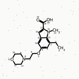 CCc1cc(OCCN2CCOCC2)cc2cc(C(=O)O)n(C)c12